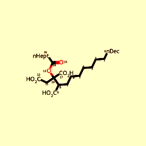 CCCCCCCCCCCCCCCCCC(C(=O)O)C(CC(=O)O)(OC(=O)CCCCCCC)C(=O)O